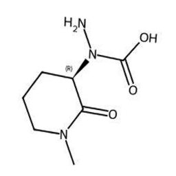 CN1CCC[C@@H](N(N)C(=O)O)C1=O